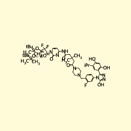 CC(C)c1cc(-c2nnc(O)n2-c2ccc(CN3CCN(C(=O)CC(C)(C)CC(=O)Nc4ccn([C@@H]5O[C@H](CO[Si](C)(C)C(C)(C)C)[C@@H](O[Si](C)(C)C(C)(C)C)C5(F)F)c(=O)n4)CC3)c(F)c2)c(O)cc1O